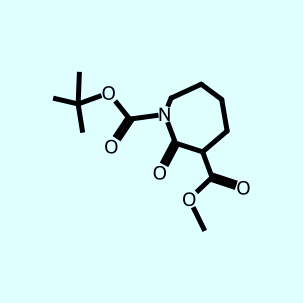 COC(=O)C1CCCCN(C(=O)OC(C)(C)C)C1=O